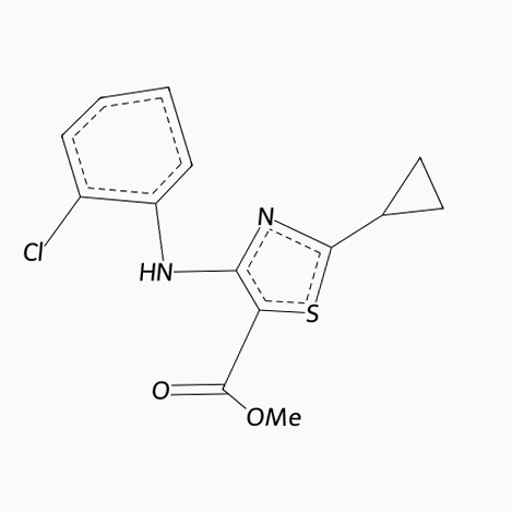 COC(=O)c1sc(C2CC2)nc1Nc1ccccc1Cl